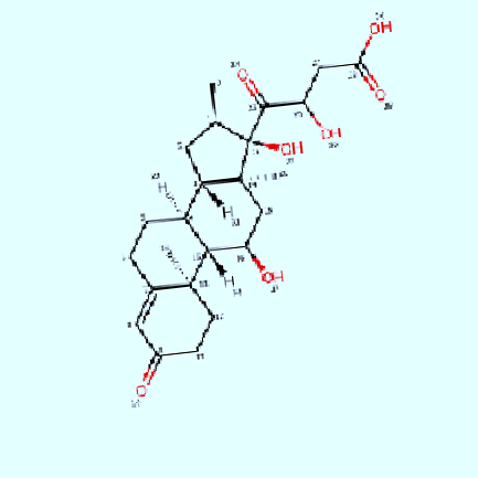 C[C@@H]1C[C@H]2[C@@H]3CCC4=CC(=O)CC[C@]4(C)[C@H]3[C@H](O)C[C@]2(C)[C@@]1(O)C(=O)C(O)CC(=O)O